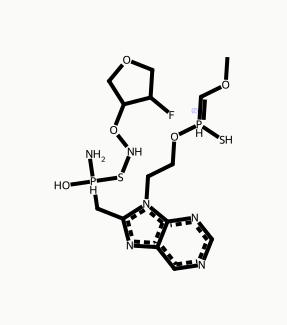 CO/C=[PH](\S)OCCn1c(C[PH](N)(O)SNOC2COCC2F)nc2cncnc21